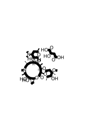 CC[C@H]1OC(=O)[C@H](C)[C@@H](O[C@H]2C[C@@](C)(OC)[C@@H](O)[C@H](C)O2)[C@H](C)[C@@H](O[C@@H]2O[C@H](C)C[C@H](N(C)C)[C@H]2O)[C@](C)(O)C[C@@H](C)CN(C)[C@H](C)[C@@H](O)[C@]1(C)O.O=C(O)CC(O)C(=O)O